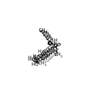 C=CC.C=CC.C=CC.C=CC.C=CC.C=CC.C=CC.C=CC.C=CC.C=CC.CCCCC1C(=O)NN(c2ccccc2)C1=O.CCOCC.OCCO